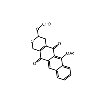 CC(=O)Oc1c2c(cc3ccccc13)C(=O)C1=C(CC(OC=O)OC1)C2=O